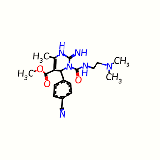 COC(=O)C1=C(C)NC(=N)N(C(=O)NCCN(C)C)C1c1ccc(C#N)cc1